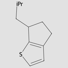 CC(C)CC1CCc2ccsc21